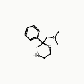 CN(C)CC1(c2[c]cccc2)CNCCO1